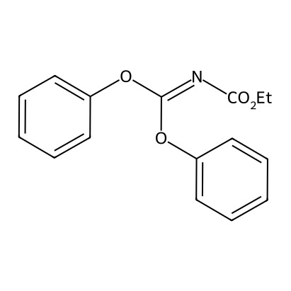 CCOC(=O)N=C(Oc1ccccc1)Oc1ccccc1